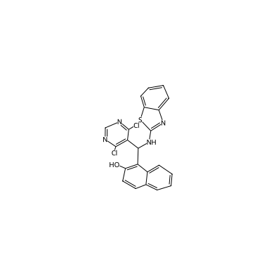 Oc1ccc2ccccc2c1C(Nc1nc2ccccc2s1)c1c(Cl)ncnc1Cl